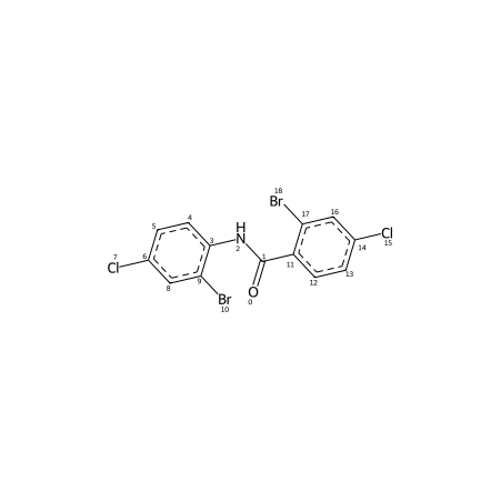 O=C(Nc1ccc(Cl)cc1Br)c1ccc(Cl)cc1Br